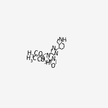 CC(C)(C)OC(=O)CN1C[C@H]2COCCN2c2nc(-c3cccc4[nH]ccc34)ncc21